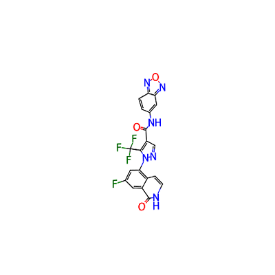 O=C(Nc1ccc2nonc2c1)c1cnn(-c2cc(F)cc3c(=O)[nH]ccc23)c1C(F)(F)F